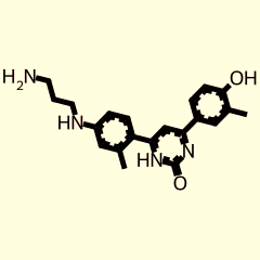 Cc1cc(-c2cc(-c3ccc(NCCCN)cc3C)[nH]c(=O)n2)ccc1O